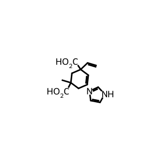 C=CC1(C(=O)O)C=CCC(C)(C(=O)O)C1.c1c[nH]cn1